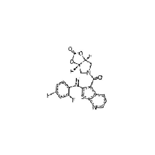 O=C1O[C@H]2CN(C(=O)c3c(Nc4ccc(I)cc4F)sc4ncccc34)C[C@H]2O1